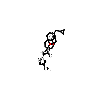 O=C(Cn1cc(C(F)(F)F)cn1)N1CCC23CCN(CC4CC4)C(Cc4ccc(O)cc42)C3(O)CC1